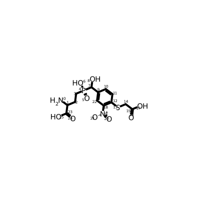 NC(CCP(=O)(O)C(O)c1ccc(SCC(=O)O)c([N+](=O)[O-])c1)C(=O)O